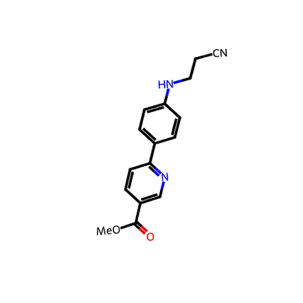 COC(=O)c1ccc(-c2ccc(NCCC#N)cc2)nc1